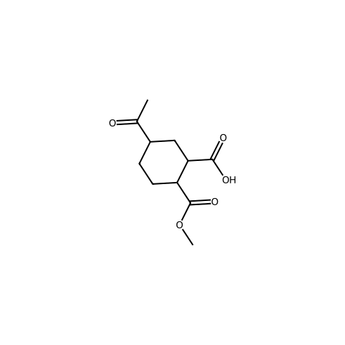 COC(=O)C1CCC(C(C)=O)CC1C(=O)O